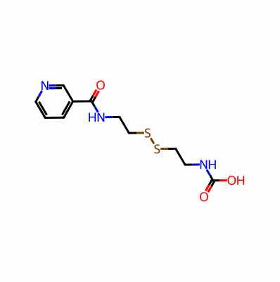 O=C(O)NCCSSCCNC(=O)c1cccnc1